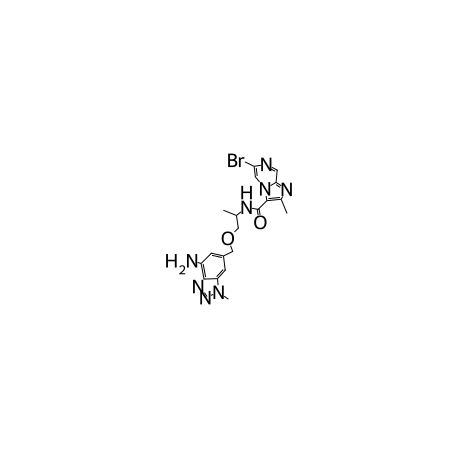 Cc1nc2cnc(Br)cn2c1C(=O)NC(C)COCc1cc(N)c2nnn(C)c2c1